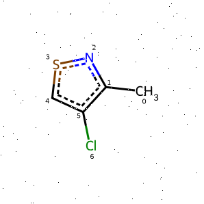 Cc1nscc1Cl